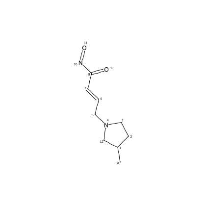 CC1CCN(C/C=C/C(=O)N=O)C1